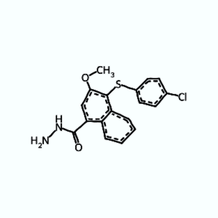 COc1cc(C(=O)NN)c2ccccc2c1Sc1ccc(Cl)cc1